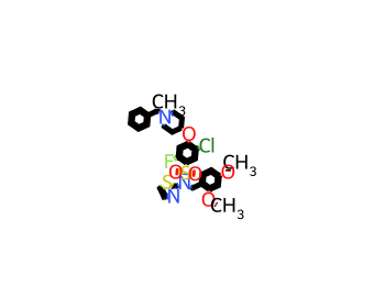 COc1ccc(CN(c2nccs2)S(=O)(=O)c2cc(Cl)c(OC3CCN(C(C)c4ccccc4)CC3)cc2F)c(OC)c1